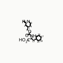 C=C/C=C(\C=C/N)COC(=O)N[C@@H](Cc1ccccc1)C(=O)O